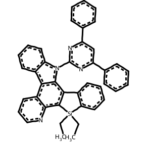 CC[Si]1(CC)c2ccccc2-c2c1c1ncccc1c1c3ccccc3n(-c3nc(-c4ccccc4)cc(-c4ccccc4)n3)c21